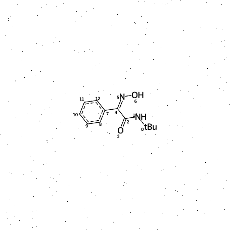 CC(C)(C)NC(=O)C(=NO)c1ccccc1